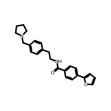 O=C(NCCc1ccc(CN2CCCC2)cc1)c1ccc(-c2ccco2)cc1